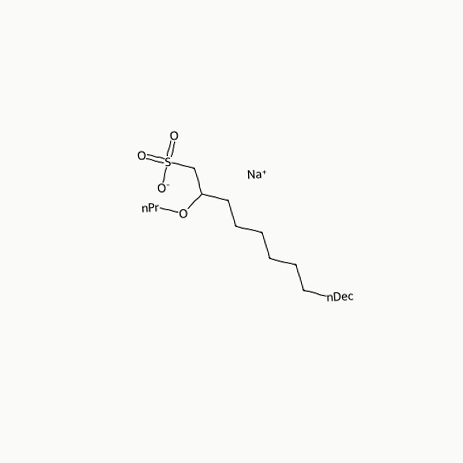 CCCCCCCCCCCCCCCCC(CS(=O)(=O)[O-])OCCC.[Na+]